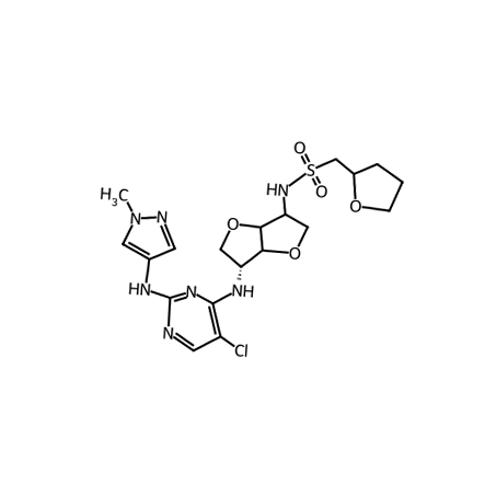 Cn1cc(Nc2ncc(Cl)c(N[C@@H]3COC4C(NS(=O)(=O)CC5CCCO5)COC43)n2)cn1